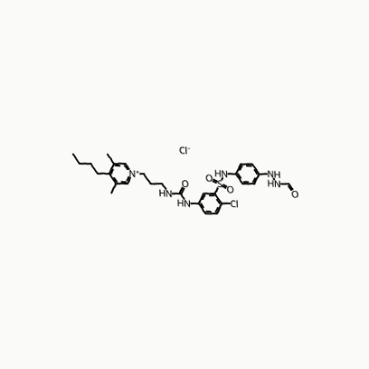 CCCCc1c(C)c[n+](CCCNC(=O)Nc2ccc(Cl)c(S(=O)(=O)Nc3ccc(NNC=O)cc3)c2)cc1C.[Cl-]